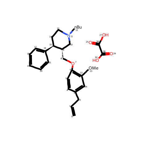 C=CCc1ccc(OC[C@H]2CN(CCCC)CC[C@@H]2c2ccccc2)c(OC)c1.O=C(O)C(=O)O